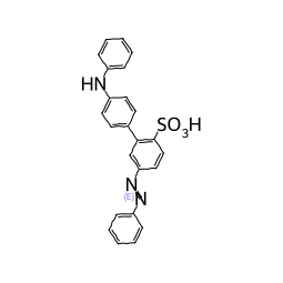 O=S(=O)(O)c1ccc(/N=N/c2ccccc2)cc1-c1ccc(Nc2ccccc2)cc1